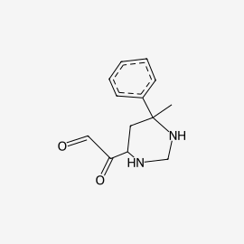 CC1(c2ccccc2)CC(C(=O)C=O)NCN1